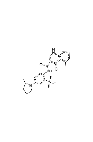 Cc1cccc2[nH]cc(C(=O)Nc3ccc(N4CCCC4C)cc3C(F)(F)F)c(=O)c12